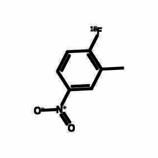 Cc1cc([N+](=O)[O-])ccc1[18F]